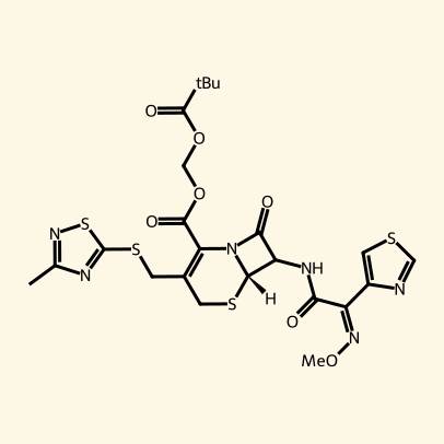 CO/N=C(\C(=O)NC1C(=O)N2C(C(=O)OCOC(=O)C(C)(C)C)=C(CSc3nc(C)ns3)CS[C@@H]12)c1cscn1